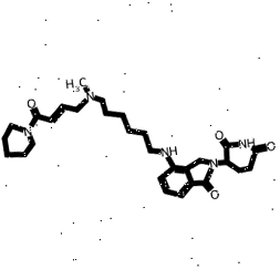 CN(C/C=C/C(=O)N1CCCCC1)CCCCCCNc1cccc2c1CN(C1CCC(=O)NC1=O)C2=O